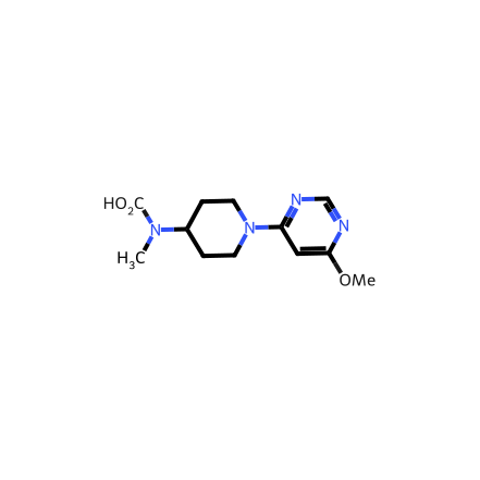 COc1cc(N2CCC(N(C)C(=O)O)CC2)ncn1